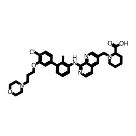 Cc1c(Nc2nccc3cc(CN4CCCCC4C(=O)O)cnc23)cccc1-c1ccc(Cl)c(OCCCN2CCOCC2)c1